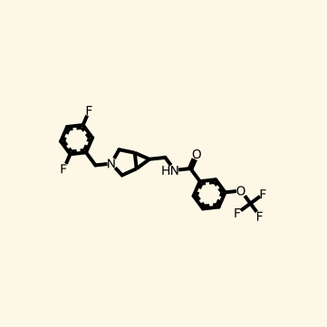 O=C(NCC1C2CN(Cc3cc(F)ccc3F)CC12)c1cccc(OC(F)(F)F)c1